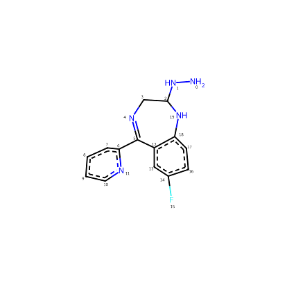 NNC1CN=C(c2ccccn2)c2cc(F)ccc2N1